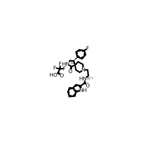 C[C@@H](CN1CCC2(CC1)C(=O)NC[C@H]2c1ccc(F)cc1)NC(=O)c1cc2ccccc2[nH]1.O=C(O)C(F)(F)F